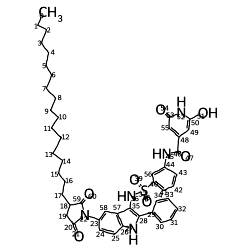 CCCCCCCCCCCCCCCCCCC1CC(=O)N(c2ccc3[nH]c(-c4ccccc4)c(NS(=O)(=O)c4cccc(NC(=O)c5cc(O)[nH]c(=O)c5)c4)c3c2)C1=O